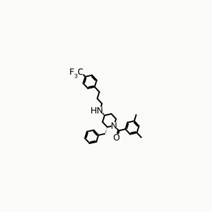 Cc1cc(C)cc(C(=O)N2CC[C@H](NCCCc3ccc(C(F)(F)F)cc3)C[C@H]2Cc2ccccc2)c1